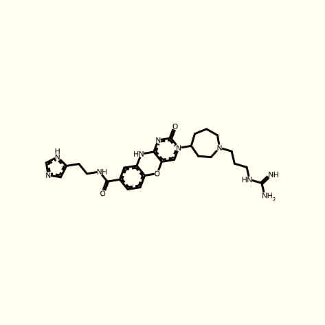 N=C(N)NCCCN1CCCC(n2cc3c(nc2=O)Nc2cc(C(=O)NCCc4cnc[nH]4)ccc2O3)CC1